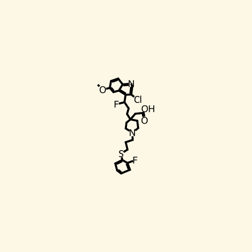 COc1ccc2ncc(Cl)c(C(F)CCC3(CC(=O)O)CCN(CCCSc4ccccc4F)CC3)c2c1